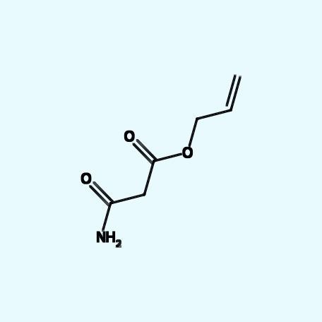 C=CCOC(=O)CC(N)=O